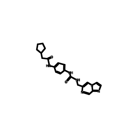 O=C(CC1CCCC1)Nc1ccc(NC(=O)NCc2cn3ccnc3cn2)cc1